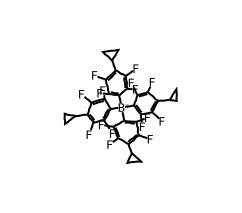 Fc1c(F)c([B-](c2c(F)c(F)c(C3CC3)c(F)c2F)(c2c(F)c(F)c(C3CC3)c(F)c2F)c2c(F)c(F)c(C3CC3)c(F)c2F)c(F)c(F)c1C1CC1